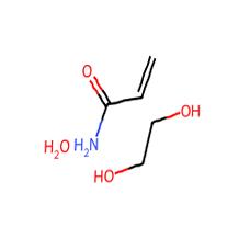 C=CC(N)=O.O.OCCO